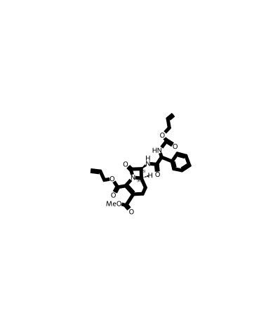 C=CCOC(=O)NC(C(=O)N[C@@H]1C(=O)N2C(C(=O)OCC=C)=C(C(=O)OC)CC[C@H]12)c1ccccc1